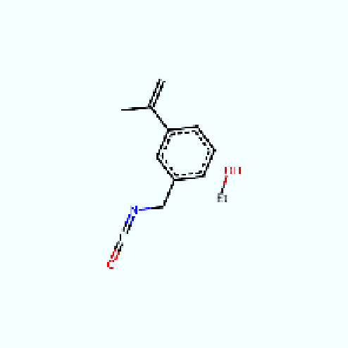 C=C(C)c1cccc(CN=C=O)c1.CCO